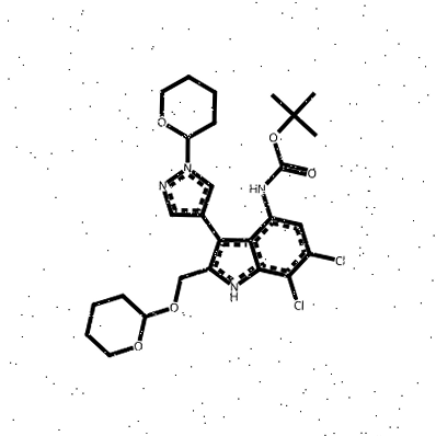 CC(C)(C)OC(=O)Nc1cc(Cl)c(Cl)c2[nH]c(COC3CCCCO3)c(-c3cnn(C4CCCCO4)c3)c12